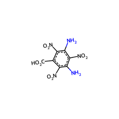 Nc1c([N+](=O)[O-])c(N)c([N+](=O)[O-])c(C(=O)O)c1[N+](=O)[O-]